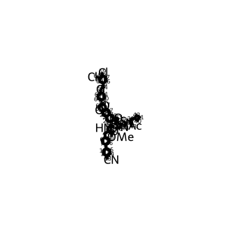 COC(=O)C(Cc1ccc(-c2ccc(C#N)cc2)cc1)NC(=O)[C@@H]1Cc2cc3c(cc2CN1S(=O)(=O)c1sc(N(CC2CCC2)C(C)=O)nc1C)O[C@@H](c1ccc(OCc2ccc(Cl)c(Cl)c2)cc1)CO3